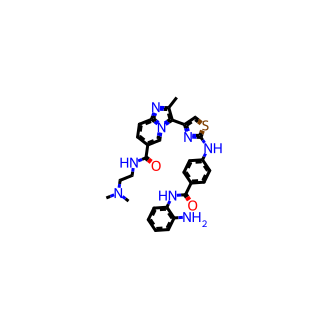 Cc1nc2ccc(C(=O)NCCN(C)C)cn2c1-c1csc(Nc2ccc(C(=O)Nc3ccccc3N)cc2)n1